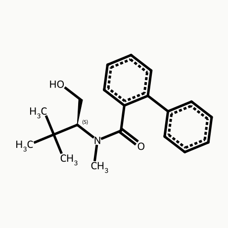 CN(C(=O)c1ccccc1-c1ccccc1)[C@H](CO)C(C)(C)C